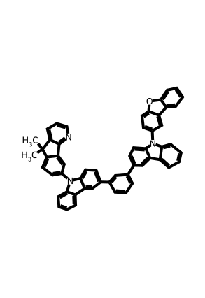 CC1(C)c2ccc(-n3c4ccccc4c4cc(-c5cccc(-c6ccc7c(c6)c6ccccc6n7-c6ccc7oc8ccccc8c7c6)c5)ccc43)cc2-c2ncccc21